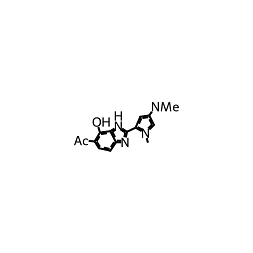 CNc1cc(-c2nc3ccc(C(C)=O)c(O)c3[nH]2)n(C)c1